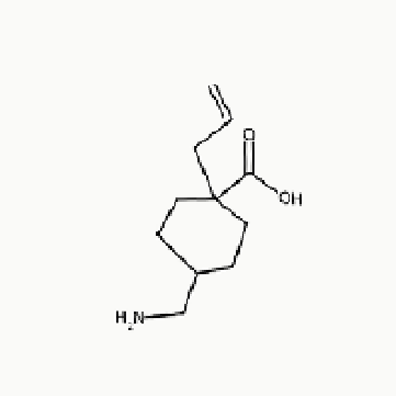 C=CCC1(C(=O)O)CCC(CN)CC1